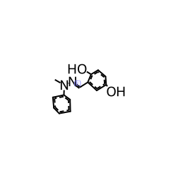 CN(/N=C/c1cc(O)ccc1O)c1ccccc1